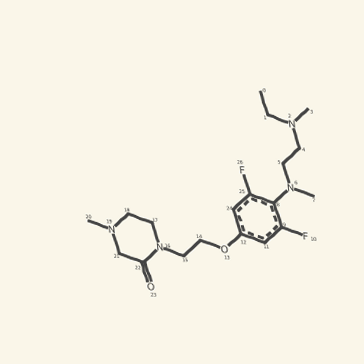 CCN(C)CCN(C)c1c(F)cc(OCCN2CCN(C)CC2=O)cc1F